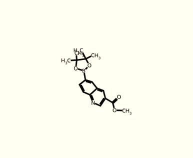 COC(=O)c1cnc2ccc(B3OC(C)(C)C(C)(C)O3)cc2c1